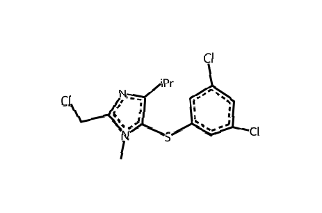 CC(C)c1nc(CCl)n(C)c1Sc1cc(Cl)cc(Cl)c1